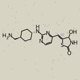 NC[C@H]1CC[C@H](Nc2nccc(/C=C3\SC(=O)NC3O)n2)CC1